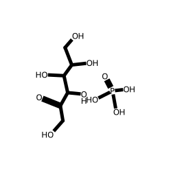 O=C(CO)C(O)C(O)C(O)CO.O=P(O)(O)O